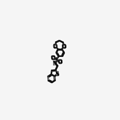 O=S(=O)(N=Cc1cc2ccccc2s1)c1ccc2c(c1)OCCCO2